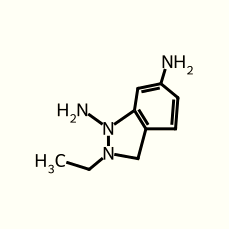 CCN1Cc2ccc(N)cc2N1N